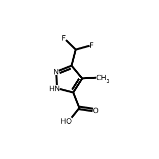 Cc1c(C(F)F)n[nH]c1C(=O)O